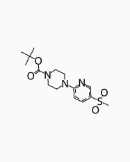 CC(C)(C)OC(=O)N1CCN(c2ccc(S(C)(=O)=O)cn2)CC1